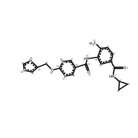 Cc1ccc(C(=O)NC2CC2)cc1NC(=O)c1cnc(OCc2cscn2)nc1